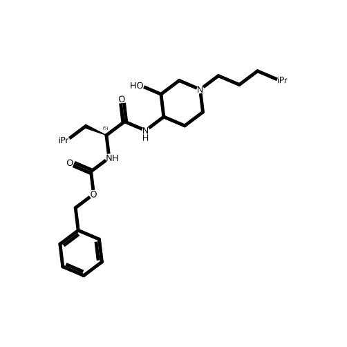 CC(C)CCCN1CCC(NC(=O)[C@H](CC(C)C)NC(=O)OCc2ccccc2)C(O)C1